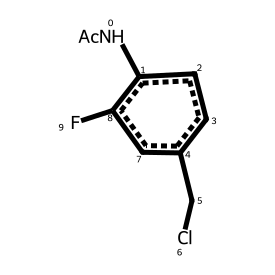 CC(=O)Nc1ccc(CCl)cc1F